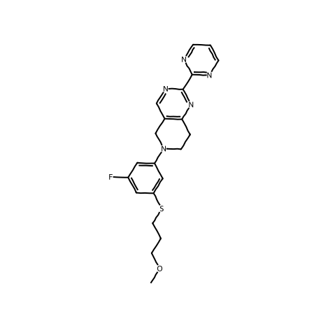 COCCCSc1cc(F)cc(N2CCc3nc(-c4ncccn4)ncc3C2)c1